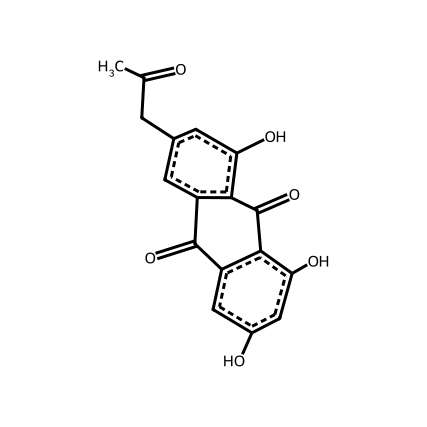 CC(=O)Cc1cc(O)c2c(c1)C(=O)c1cc(O)cc(O)c1C2=O